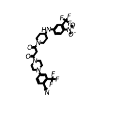 N#Cc1ccc(N2CCN(C(=O)CC(=O)N3CCC(Nc4ccc([N+](=O)[O-])c(C(F)(F)F)c4)CC3)CC2)cc1C(F)(F)F